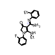 CCNC1=C(/C(N)=N/c2ccccc2CC)C(=O)CN1c1ccccc1F